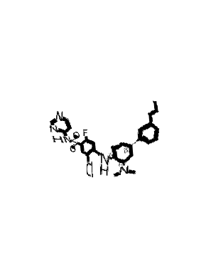 CCCc1cccc([C@H]2CC[C@H](Nc3cc(F)c(S(=O)(=O)Nc4ccncn4)cc3Cl)[C@@H](N(C)C)C2)c1